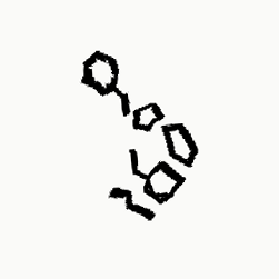 C1=CCC=C1.C1=CCC=C1.C=CC12C=CC(CC1)C2.C=CC=C.C=Cc1ccccc1